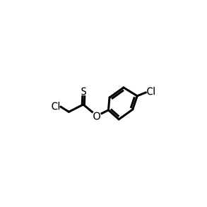 S=C(CCl)Oc1ccc(Cl)cc1